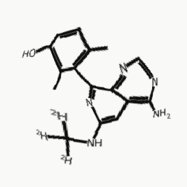 [2H]C([2H])([2H])Nc1cc2c(N)ncnc2c(-c2c(C)ccc(O)c2C)n1